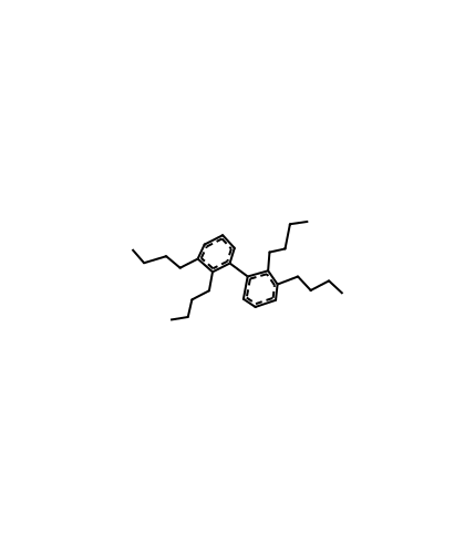 CCCCc1cccc(-c2cccc(CCCC)c2CCCC)c1CCCC